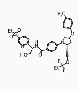 CCC(F)(F)OC#C[C@@H]1CC(Oc2ccc(C(F)(F)F)cc2)CN1c1ccc(C(=O)N[C@@H](CO)c2ccc(S(=O)(=O)CC)cn2)cc1